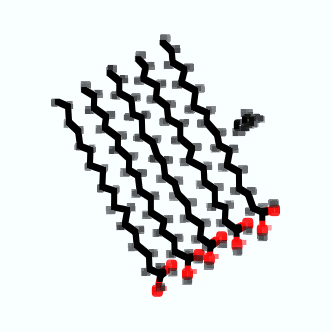 CCCCCCCCCCCCCCCCCC(=O)[O-].CCCCCCCCCCCCCCCCCC(=O)[O-].CCCCCCCCCCCCCCCCCC(=O)[O-].CCCCCCCCCCCCCCCCCC(=O)[O-].CCCCCCCCCCCCCCCCCC(=O)[O-].[Ca+2].[Cr+3]